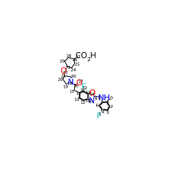 Cc1ccc(F)cc1Nc1nc2ccc(CC(=O)N3CC[C@@H](O[C@H]4CC[C@H](C(=O)O)CC4)C3)c(F)c2o1